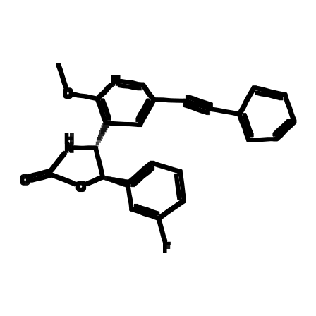 COc1ncc(C#Cc2ccccc2)cc1[C@H]1NC(=O)O[C@@H]1c1cccc(F)c1